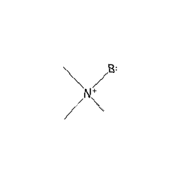 [B][N+](C)(C)C